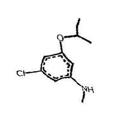 CNc1cc(Cl)cc(OC(C)C)c1